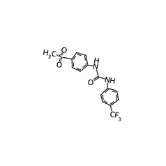 CS(=O)(=O)c1ccc(NC(=O)Nc2ccc(C(F)(F)F)cc2)cc1